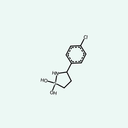 OS1(O)CCC(c2ccc(Cl)cc2)N1